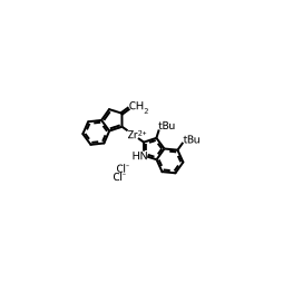 C=C1C=c2ccccc2=[C]1[Zr+2][c]1[nH]c2cccc(C(C)(C)C)c2c1C(C)(C)C.[Cl-].[Cl-]